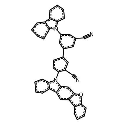 N#Cc1cc(-c2ccc(-n3c4ccccc4c4cc5c(cc43)oc3ccccc35)c(C#N)c2)cc(-n2c3ccccc3c3ccccc32)c1